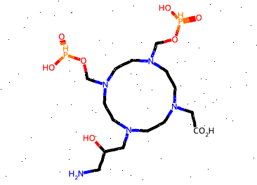 NCC(O)CN1CCN(CO[PH](=O)O)CCN(CO[PH](=O)O)CCN(CC(=O)O)CC1